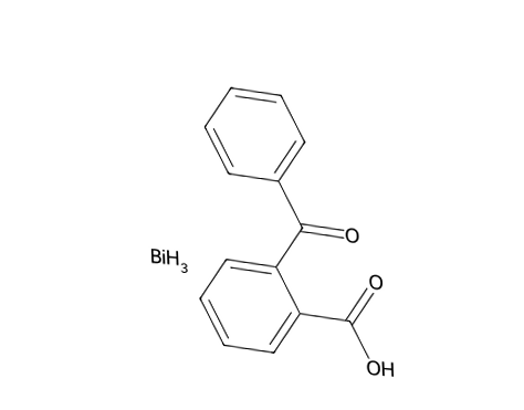 O=C(O)c1ccccc1C(=O)c1ccccc1.[BiH3]